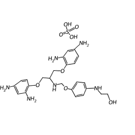 Nc1ccc(OCC(COc2ccc(N)cc2N)NCOc2ccc(NCCO)cc2)c(N)c1.O=S(=O)(O)O